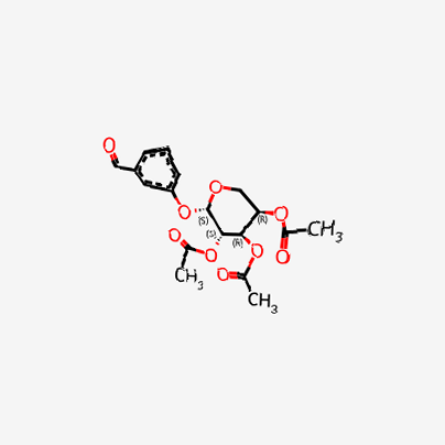 CC(=O)O[C@@H]1[C@H](Oc2cccc(C=O)c2)OC[C@@H](OC(C)=O)[C@H]1OC(C)=O